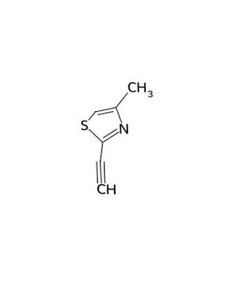 C#Cc1nc(C)cs1